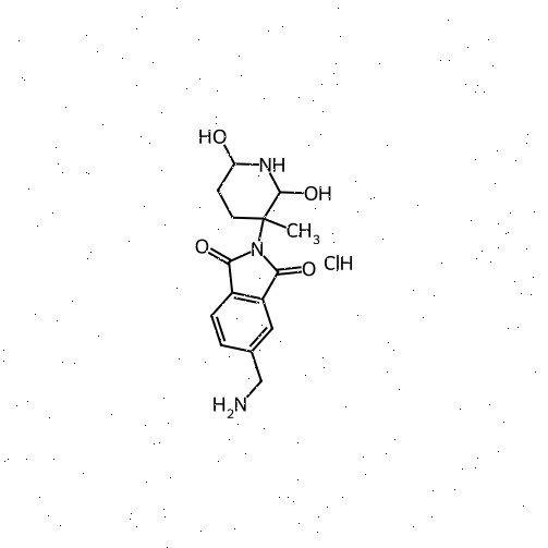 CC1(N2C(=O)c3ccc(CN)cc3C2=O)CCC(O)NC1O.Cl